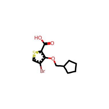 O=C(O)c1scc(Br)c1OCC1CCCC1